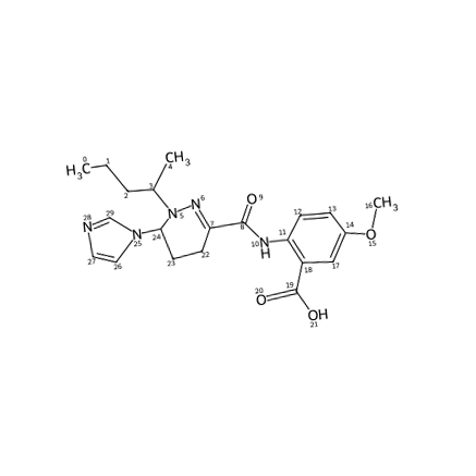 CCCC(C)N1N=C(C(=O)Nc2ccc(OC)cc2C(=O)O)CCC1n1ccnc1